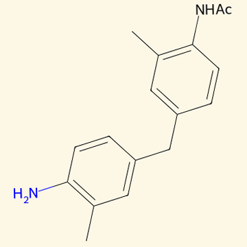 CC(=O)Nc1ccc(Cc2ccc(N)c(C)c2)cc1C